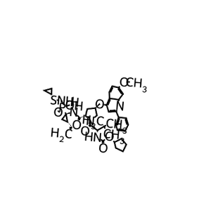 C=C[C@@H]1C[C@]1(NC(=O)[C@@H]1C[C@@H](Oc2cc(-c3ccccc3)nc3cc(OC)ccc23)CN1C(=O)[C@@H](NC(=O)OC1CCCC1)C(C)(C)C)P(=O)(O)NSC1CC1